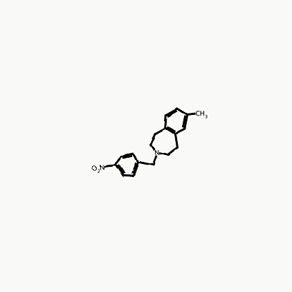 Cc1ccc2c(c1)CCN(Cc1ccc([N+](=O)[O-])cc1)CC2